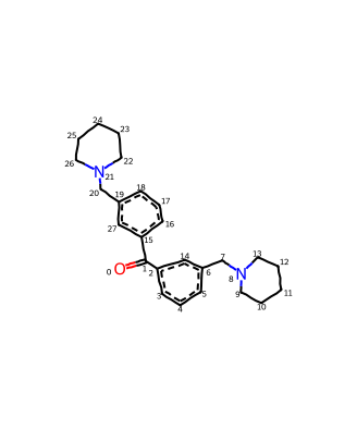 O=C(c1cccc(CN2CCCCC2)c1)c1cccc(CN2CCCCC2)c1